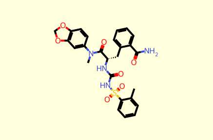 Cc1ccccc1S(=O)(=O)NC(=O)N[C@@H](Cc1ccccc1C(N)=O)C(=O)N(C)c1ccc2c(c1)OCO2